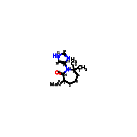 CNC1CCCC(C)(C)N(c2c[nH]cn2)C1=O